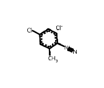 Cc1cc(Cl)ccc1[N+]#N.[Cl-]